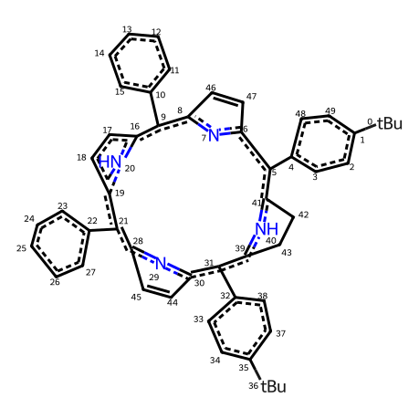 CC(C)(C)c1ccc(-c2c3nc(c(-c4ccccc4)c4ccc([nH]4)c(-c4ccccc4)c4nc(c(-c5ccc(C(C)(C)C)cc5)c5[nH]c2CC5)C=C4)C=C3)cc1